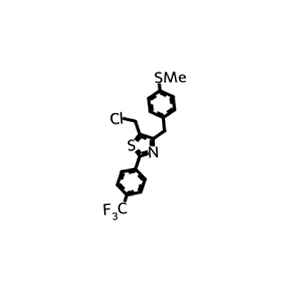 CSc1ccc(Cc2nc(-c3ccc(C(F)(F)F)cc3)sc2CCl)cc1